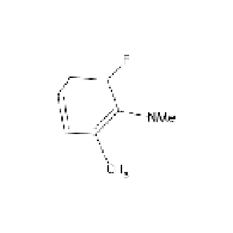 CNC1=C(C)C=CCC1F